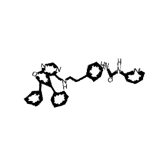 O=C(Nc1ccc(CCNc2ncnc3oc(-c4ccccc4)c(-c4ccccc4)c23)cc1)Nc1ccccn1